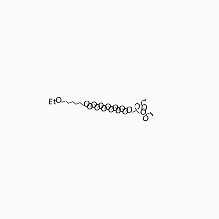 C=CC(=O)OCC(COOOOOOOOOOOOOCCCCCCCOCC)OC(=O)C=C